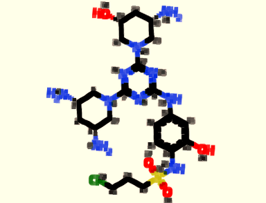 N[C@@H]1C[C@H](N)CN(c2nc(Nc3ccc(NS(=O)(=O)CCCCl)c(O)c3)nc(N3C[C@@H](N)C[C@@H](O)C3)n2)C1